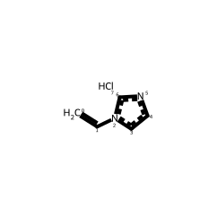 C=Cn1ccnc1.Cl